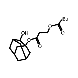 CCC(C)C(=O)OCCC(=O)OC12CC3CC(CC(C3)C1O)C2